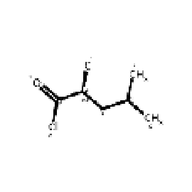 CC(C)C[C@H](Cl)C(=O)Cl